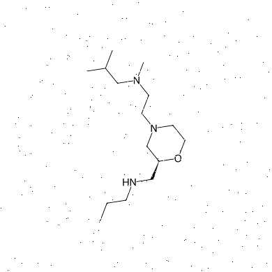 CCCNC[C@H]1CN(CCN(C)CC(C)C)CCO1